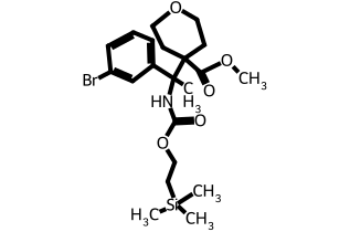 COC(=O)C1(C(C)(NC(=O)OCC[Si](C)(C)C)c2cccc(Br)c2)CCOCC1